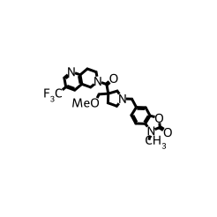 COCC1(C(=O)N2CCc3ncc(C(F)(F)F)cc3C2)CCN(Cc2ccc3c(c2)oc(=O)n3C)C1